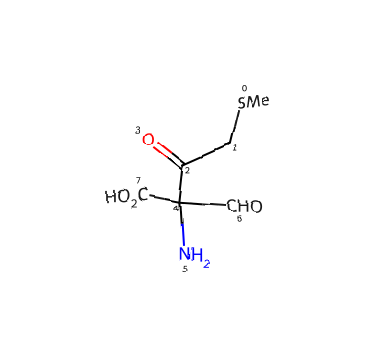 CSCC(=O)C(N)(C=O)C(=O)O